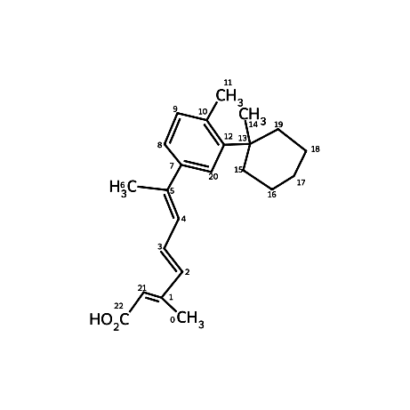 CC(C=CC=C(C)c1ccc(C)c(C2(C)CCCCC2)c1)=CC(=O)O